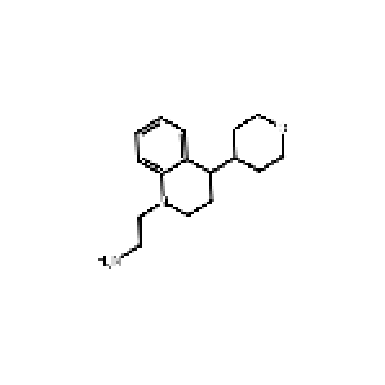 NCCN1CCC(C2CCOCC2)c2ccccc21